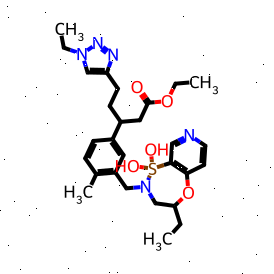 CCOC(=O)CC(CCc1cn(CC)nn1)c1ccc(C)c(CN2CC(CC)Oc3ccncc3S2(O)O)c1